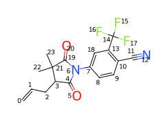 C=CCC1C(=O)N(c2ccc(C#N)c(C(F)(F)F)c2)C(=O)C1(C)C